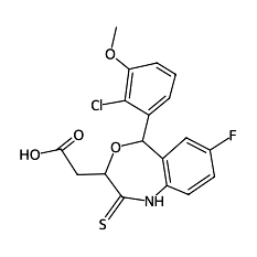 COc1cccc(C2OC(CC(=O)O)C(=S)Nc3ccc(F)cc32)c1Cl